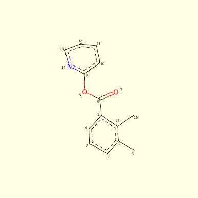 Cc1cccc(C(=O)Oc2ccccn2)c1C